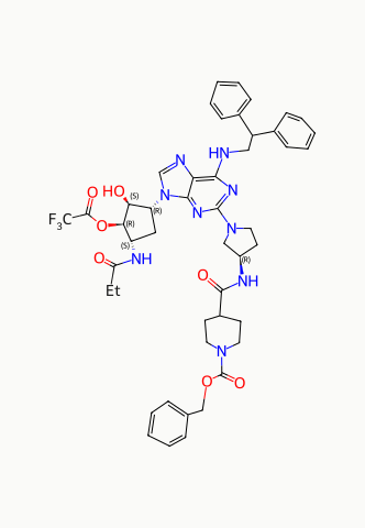 CCC(=O)N[C@H]1C[C@@H](n2cnc3c(NCC(c4ccccc4)c4ccccc4)nc(N4CC[C@@H](NC(=O)C5CCN(C(=O)OCc6ccccc6)CC5)C4)nc32)[C@H](O)[C@@H]1OC(=O)C(F)(F)F